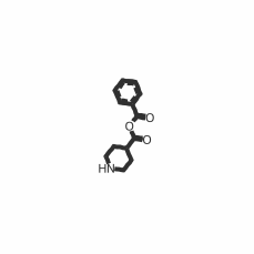 O=C(OC(=O)C1CCNCC1)c1ccccc1